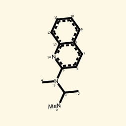 CNC(C)N(C)c1ccc2ccccc2n1